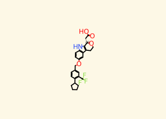 O=C(O)C[C@@H]1OCCc2c1[nH]c1ccc(OCc3ccc(C4CCCC4)c(C(F)(F)F)c3)cc21